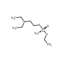 CCO[P@@](C)(=O)SCCN(CC)CC